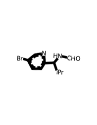 CC(C)C(NC=O)c1ccc(Br)cn1